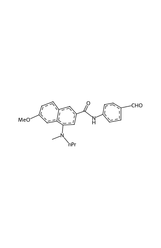 CCCN(C)c1cc(C(=O)Nc2ccc(C=O)cc2)cc2ccc(OC)cc12